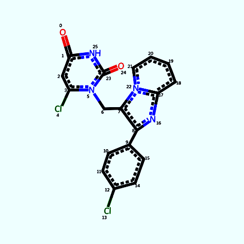 O=c1cc(Cl)n(Cc2c(-c3ccc(Cl)cc3)nc3ccccn23)c(=O)[nH]1